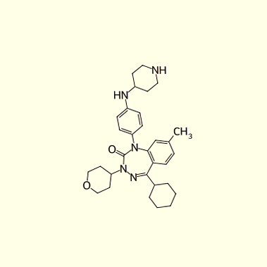 Cc1ccc2c(c1)N(c1ccc(NC3CCNCC3)cc1)C(=O)N(C1CCOCC1)N=C2C1CCCCC1